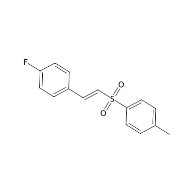 Cc1ccc(S(=O)(=O)/C=C/c2ccc(F)cc2)cc1